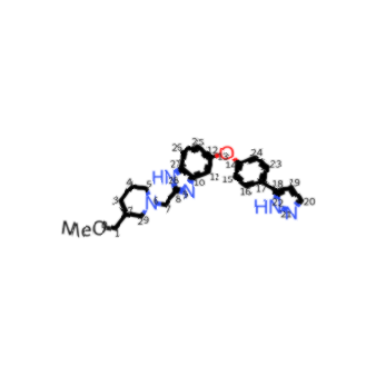 COCC1CCCN(Cc2nc3cc(Oc4ccc(-c5ccn[nH]5)cc4)ccc3[nH]2)C1